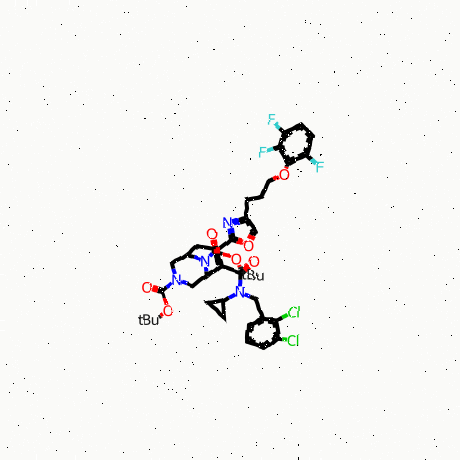 CC(C)(C)OC(=O)N1CC2CC(c3nc(CCCOc4c(F)ccc(F)c4F)co3)=C(C(=O)N(Cc3cccc(Cl)c3Cl)C3CC3)C(C1)N2C(=O)OC(C)(C)C